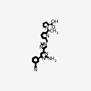 C[C@H](c1cccc(Cn2cc(-c3cc(-c4cccc(C#N)c4)nc(N)n3)nn2)n1)N1CCC[C@H]1C(=O)O